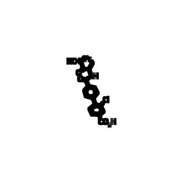 CC(C)CC(NC(=O)c1ccc(-c2ccc(C(=O)O)cc2Cl)cc1)C(=O)N(C)C#N